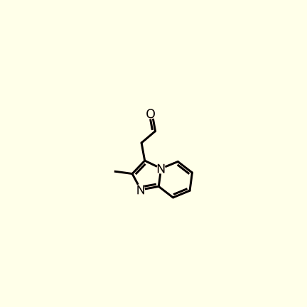 Cc1nc2ccccn2c1CC=O